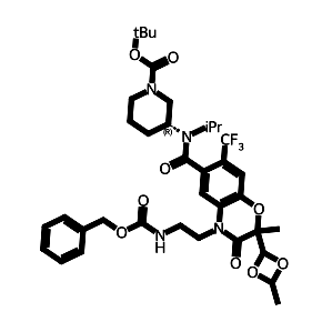 CC1OC(C2(C)Oc3cc(C(F)(F)F)c(C(=O)N(C(C)C)[C@@H]4CCCN(C(=O)OC(C)(C)C)C4)cc3N(CCNC(=O)OCc3ccccc3)C2=O)O1